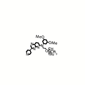 COc1cc(OC)cc(N(CCO[Si](C)(C)C(C)(C)C)c2ccc3ncc(-c4ccncc4)nc3n2)c1